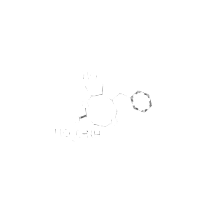 C[C@@H]1OC(=O)[C@@H](NC(=O)O)COCC(Cc2ccccc2)C1CO